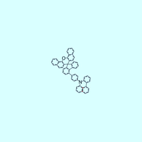 c1ccc(-c2ccccc2N(c2ccccc2)c2ccc(-c3cccc4c3-c3ccccc3C43c4ccc5ccccc5c4Oc4c3ccc3ccccc43)cc2)cc1